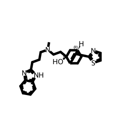 CN(CCCc1nc2ccccc2[nH]1)CC[C@]1(O)C[C@H]2CCC1C=C2c1nccs1